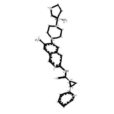 Cc1cc2cnc(NC(=O)[C@H]3C[C@@H]3c3ccccn3)cc2cc1N1CCN([C@]2(C)CCOC2)CC1